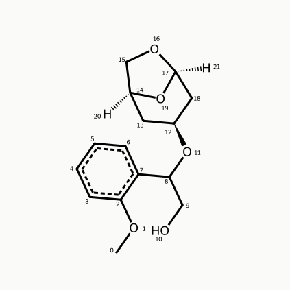 COc1ccccc1C(CO)O[C@H]1C[C@H]2CO[C@@H](C1)O2